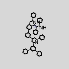 N=C(/C(=C1\NC(c2ccccc2)=Cc2ccc(-c3cccc(-c4cc(-c5ccccc5)nc(-c5cc(-c6ccccc6)cc(-c6ccccc6)c5)c4)c3)cc21)c1ccccc1)c1ccccc1